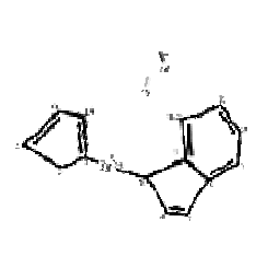 C1=CC[C]([Zr+2][CH]2C=Cc3ccccc32)=C1.[I-].[I-]